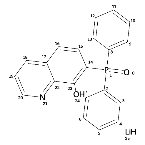 O=P(c1ccccc1)(c1ccccc1)c1ccc2cccnc2c1O.[LiH]